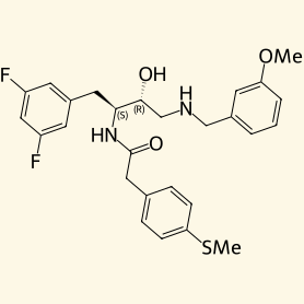 COc1cccc(CNC[C@@H](O)[C@H](Cc2cc(F)cc(F)c2)NC(=O)Cc2ccc(SC)cc2)c1